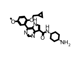 COc1ccc(OCC2CC2)c(-c2ncnc3c(C(=O)N[C@H]4CC[C@@H](N)CC4)c[nH]c23)c1